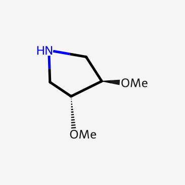 CO[C@@H]1CNC[C@H]1OC